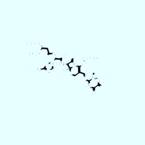 CN1NC(=O)C(=O)NC1SCC1=C(OC(=O)O)N2C(=O)[C@@H](NC(=O)[C@@H](NC(=O)C[C@@H](N)C(=O)O)N3CN=C(N)S3)[C@@H]2SC1